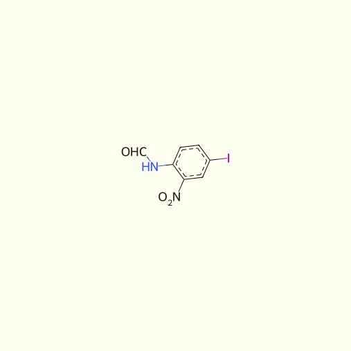 O=CNc1ccc(I)cc1[N+](=O)[O-]